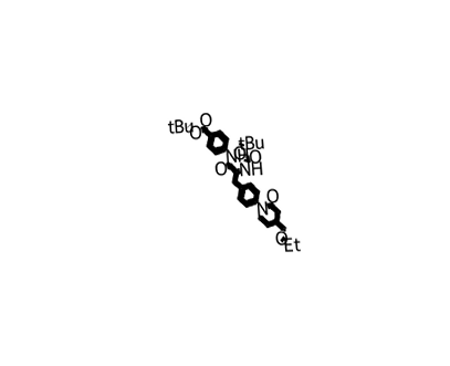 CCOCC1CCN(c2ccc(CC(NC(=O)OC(C)(C)C)C(=O)Nc3ccc(C(=O)OC(C)(C)C)cc3)cc2)C(=O)C1